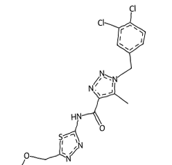 COCc1nnc(NC(=O)c2nnn(Cc3ccc(Cl)c(Cl)c3)c2C)s1